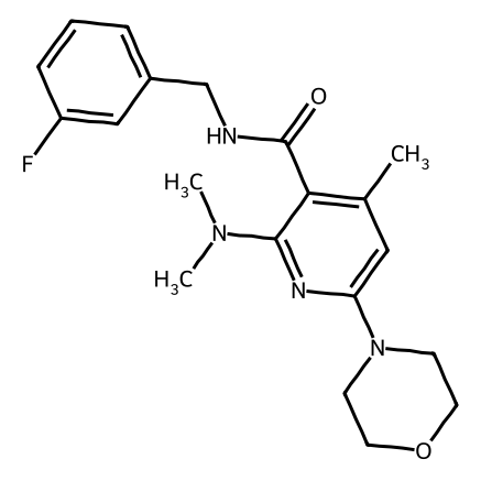 Cc1cc(N2CCOCC2)nc(N(C)C)c1C(=O)NCc1cccc(F)c1